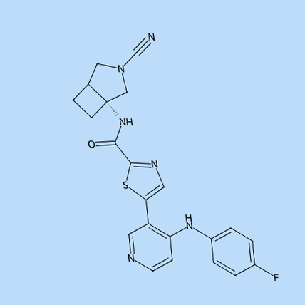 N#CN1CC2CC[C@]2(NC(=O)c2ncc(-c3cnccc3Nc3ccc(F)cc3)s2)C1